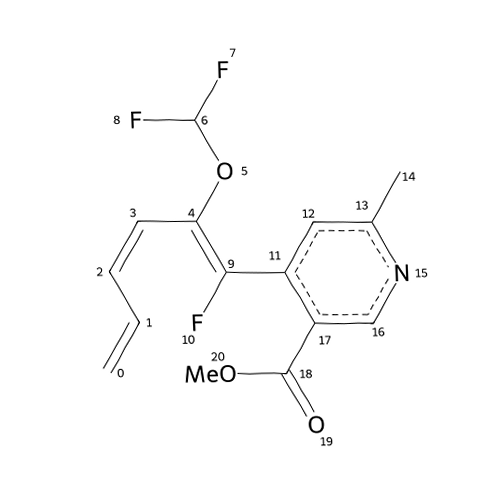 C=C/C=C\C(OC(F)F)=C(/F)c1cc(C)ncc1C(=O)OC